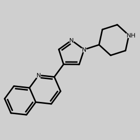 c1ccc2nc(-c3cnn(C4CCNCC4)c3)ccc2c1